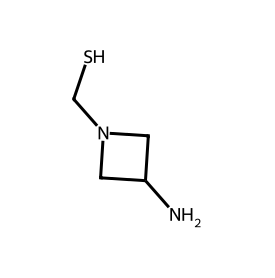 NC1CN(CS)C1